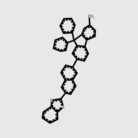 Cc1ccc2c(c1)C(c1ccccc1)(c1ccccc1)c1cc(-c3ccc4cc(-c5nc6ccccc6s5)ccc4c3)ccc1-2